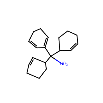 NC(C1=CCCC=C1)(C1C=CCCC1)C1C=CCCC1